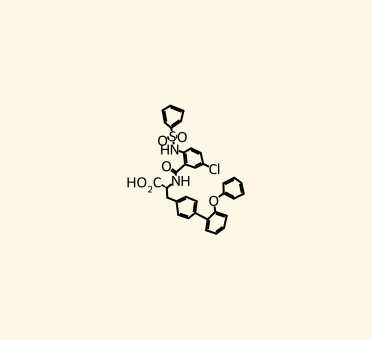 O=C(N[C@@H](Cc1ccc(-c2ccccc2Oc2ccccc2)cc1)C(=O)O)c1cc(Cl)ccc1NS(=O)(=O)c1ccccc1